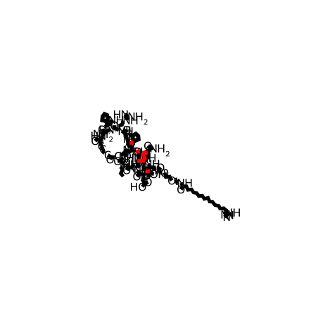 CCCC[C@H](NC(=O)[C@H](CNC(=O)CN(CC(=O)O)CC(=O)O)NC(=O)[C@H](CC1=CCC=N1)NC(=O)[C@H](CCC(N)=O)NC(=O)[C@H](CO)NC(=O)CNC(=O)COCCOCCNC(=O)CCCCCCCCCCCCCCCc1nnn[nH]1)C(=O)N[C@H]1CCC(=O)CCCCC[C@@H](C(N)=O)NC(=O)[C@H](Cc2c[nH]c3ccccc23)NC(=O)[C@H](CCCNC(=N)N)NC(=O)[C@@H](Cc2ccccc2)NC(=O)[C@@H]2C[C@@H](O)CN2C1=O